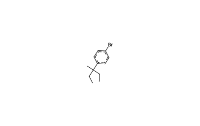 CCC(C)(CC)c1ccc(Br)cc1